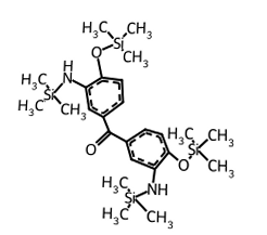 C[Si](C)(C)Nc1cc(C(=O)c2ccc(O[Si](C)(C)C)c(N[Si](C)(C)C)c2)ccc1O[Si](C)(C)C